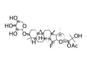 CC(=O)O[C@@H]([C@H]1C[C@@H](C)C2C(O1)[C@@H](F)[C@@]1(C)[C@@H]3CC[C@H]4C(C)(C)[C@@H](OC5OC[C@@H](O)[C@H](O)[C@H]5O)CC[C@@]45C[C@@]35CC[C@]21C)C(C)(C)O